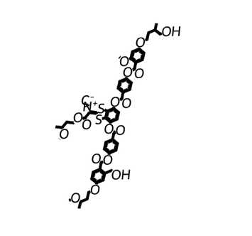 [C-]#[N+]/C(C(=O)OCCC(C)OC)=C1/Sc2c(OC(=O)c3ccc(OC(=O)c4ccc(OCCC(C)OC)cc4CO)cc3)ccc(OC(=O)c3ccc(OC(=O)c4ccc(OCCC(C)CO)cc4OC)cc3)c2S1